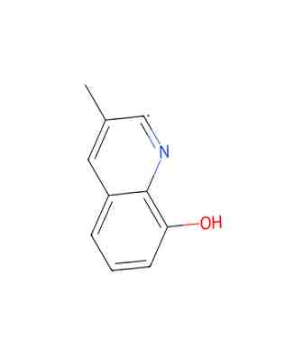 Cc1[c]nc2c(O)cccc2c1